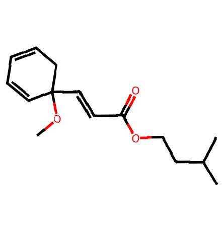 COC1(C=CC(=O)OCCC(C)C)C=CC=CC1